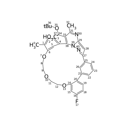 Cc1ccc2cc1OCCOCCOc1cc(F)ccc1-c1cccc(c1)-c1cc3nc(C)c([C@H](OC(C)(C)C)C(=O)O)c-2n3n1